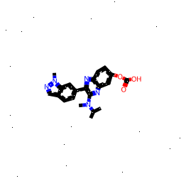 CC(C)N(C)c1nc2cc(OC(=O)O)ccc2nc1-c1ccc2cnn(C)c2c1